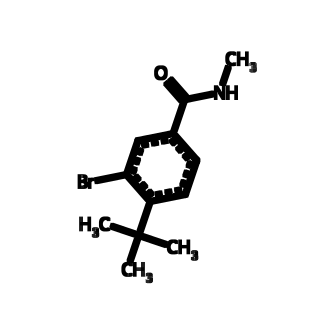 CNC(=O)c1ccc(C(C)(C)C)c(Br)c1